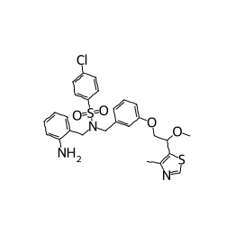 COC(COc1cccc(CN(Cc2ccccc2N)S(=O)(=O)c2ccc(Cl)cc2)c1)c1scnc1C